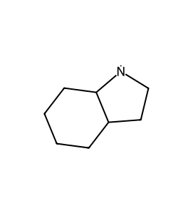 C1CCC2[N]CCC2C1